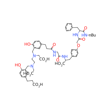 CCCCNC(=O)C(Cc1ccccc1)NC(=O)COc1ccc(CC(NC(=O)CNC(=O)CCc2ccc(O)c(CN(CCN(CC(=O)O)Cc3cc(CCC(=O)O)ccc3O)CC(=O)O)c2)C(=O)O)cc1